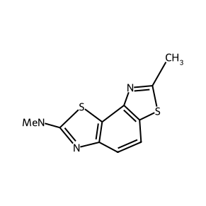 CNc1nc2ccc3sc(C)nc3c2s1